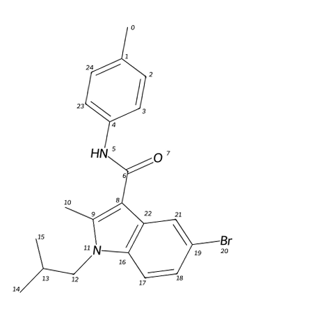 Cc1ccc(NC(=O)c2c(C)n(CC(C)C)c3ccc(Br)cc23)cc1